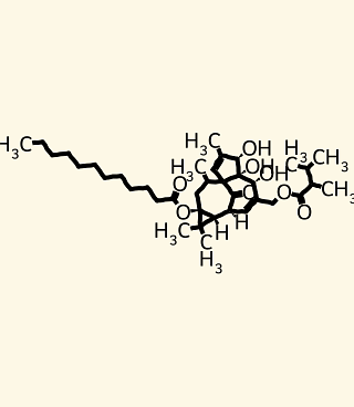 CCCCCCCCCCCC(=O)O[C@@]12CC(C)C34C=C(C)[C@H](O)[C@@]3(O)[C@H](O)C(COC(=O)C(C)C(C)C)=C[C@H](C4=O)[C@@H]1C2(C)C